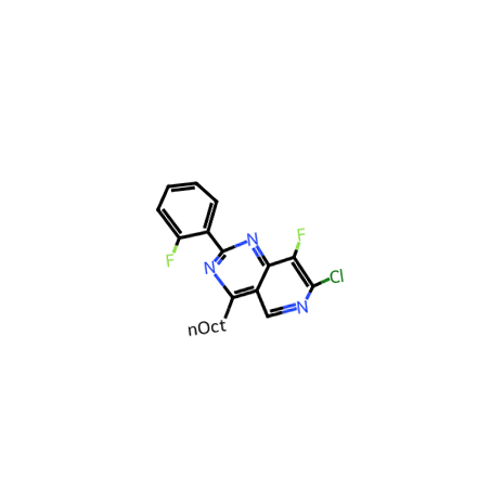 CCCCCCCCc1nc(-c2ccccc2F)nc2c(F)c(Cl)ncc12